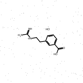 Cl.N=C(N)NCCc1cccc(C(=O)O)c1